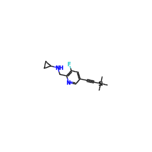 C[Si](C)(C)C#Cc1cnc(CNC2CC2)c(F)c1